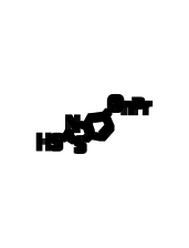 CCCOc1ccc2sc(S)nc2c1